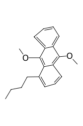 CCCCc1cccc2c(OC)c3ccccc3c(OC)c12